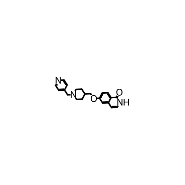 O=c1[nH]ccc2cc(OCC3CCN(Cc4ccncc4)CC3)ccc12